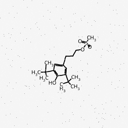 CC(C)(C)c1cc(CCCOS(C)(=O)=O)cc(C(C)(C)C)c1O